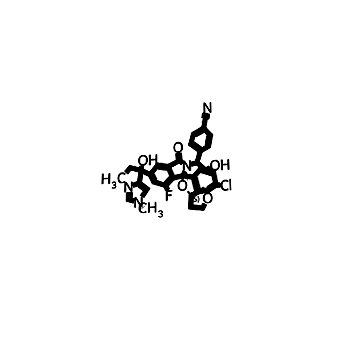 CCC(O)(c1cc(F)c2c(c1)C(=O)N(C(CO)c1ccc(C#N)cc1)[C@@]2(O[C@H]1CCOC1)c1ccc(Cl)cc1)c1cn(C)cn1